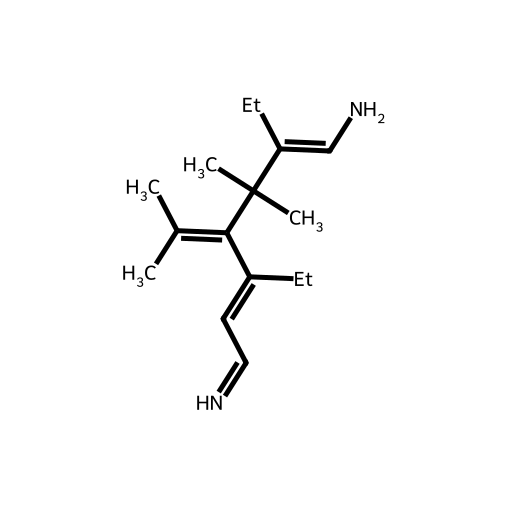 CC/C(=C\C=N)C(=C(C)C)C(C)(C)/C(=C/N)CC